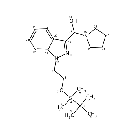 CC(C)(C)[Si](C)(C)OCCn1nc(C(O)N2CCCC2)c2ccccc21